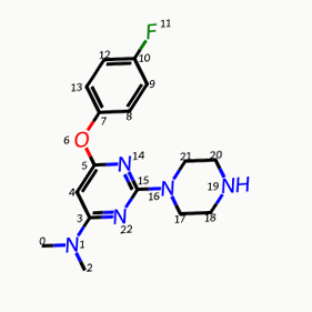 CN(C)c1cc(Oc2ccc(F)cc2)nc(N2CCNCC2)n1